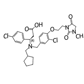 CN1CC(=O)N(CCOc2ccc(CN(CC3CCCC3)[C@H](CC(=O)O)c3ccc(Cl)cc3)cc2Cl)C1=O